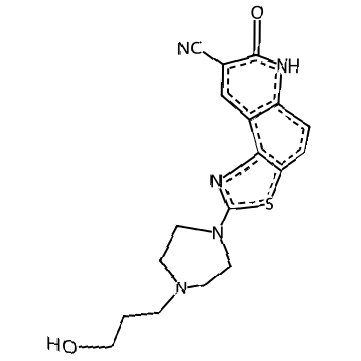 N#Cc1cc2c(ccc3sc(N4CCN(CCCO)CC4)nc32)[nH]c1=O